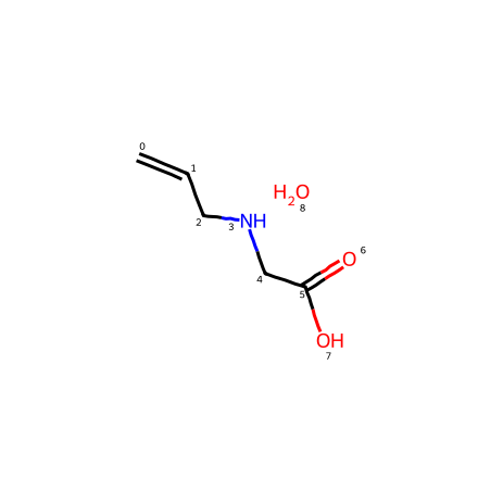 C=CCNCC(=O)O.O